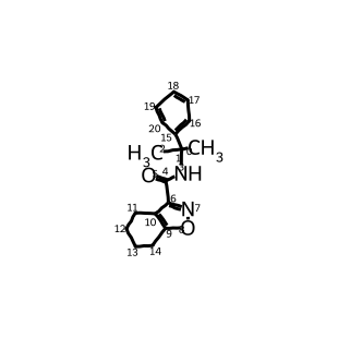 CC(C)(NC(=O)c1noc2c1CCCC2)c1ccccc1